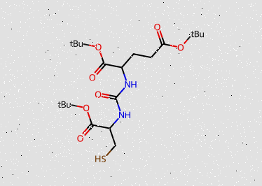 CC(C)(C)OC(=O)CCC(NC(=O)NC(CS)C(=O)OC(C)(C)C)C(=O)OC(C)(C)C